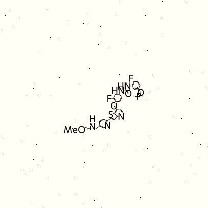 COCCNCc1ccc(-c2cc3nccc(Oc4ccc(NC(=O)Nc5cc(OP(C)C)ccc5F)cc4F)c3s2)nc1